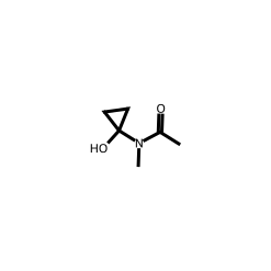 CC(=O)N(C)C1(O)CC1